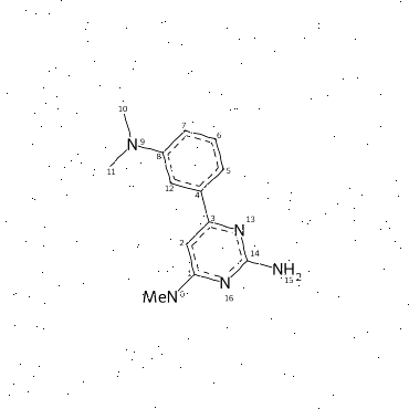 CNc1cc(-c2cccc(N(C)C)c2)nc(N)n1